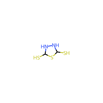 SC1NNC(S)S1